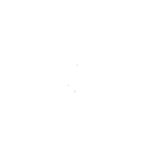 CCCC[Si](C)(C)OS(=O)(=O)C(F)C(F)F